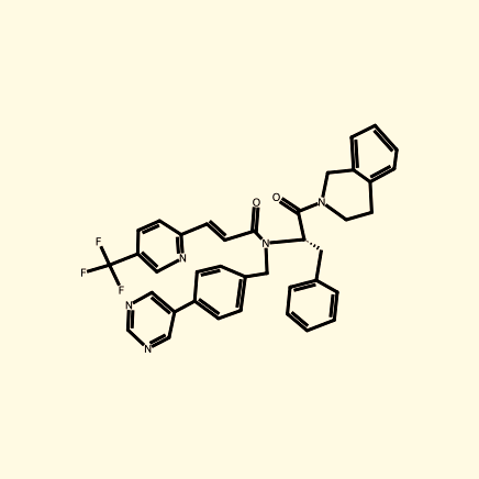 O=C([C@H](Cc1ccccc1)N(Cc1ccc(-c2cncnc2)cc1)C(=O)C=Cc1ccc(C(F)(F)F)cn1)N1CCc2ccccc2C1